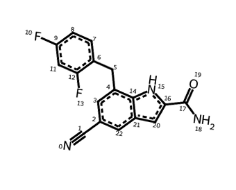 N#Cc1cc(Cc2ccc(F)cc2F)c2[nH]c(C(N)=O)cc2c1